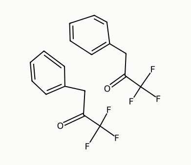 O=C(Cc1ccccc1)C(F)(F)F.O=C(Cc1ccccc1)C(F)(F)F